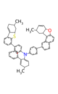 CC1C=C(c2ccccc2)C(N(c2ccc(-c3ccc4ccc5c(c4c3)C3CC(C)C=CC3O5)cc2)c2ccc(-c3cccc4c3SC3CC(C)CC=C43)cc2)=CC1